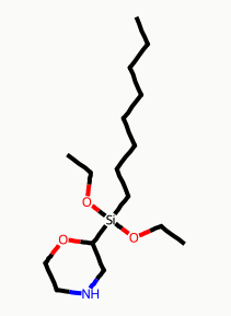 CCCCCCCC[Si](OCC)(OCC)C1CNCCO1